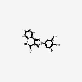 O=C(O)c1nn(-c2cc(F)c(F)c(F)c2)cc1-c1cccnc1